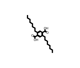 CCCCCCCCc1cc(C(=O)O)c(CCCCCCCC)cc1C(=O)O